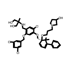 CC(CO)(CO)NCc1cc(Cl)c(OC[C@@]2(OCCCN3CCC(O)C3)C=CC=C(c3ccccc3)C2(C)C)cc1OCc1cc(Cl)cc(Cl)c1